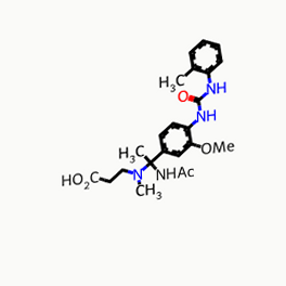 COc1cc(C(C)(NC(C)=O)N(C)CCC(=O)O)ccc1NC(=O)Nc1ccccc1C